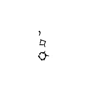 C=COC1CC(Oc2ccccc2C)C1